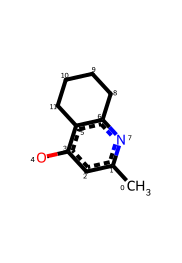 Cc1cc([O])c2c(n1)CCCC2